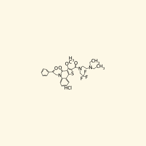 CCN(CC)CCN(CC(F)(F)F)C(=O)c1sc2c(c1OC)c(=O)n(CC(=O)c1ccccc1)c1ccccc21.Cl